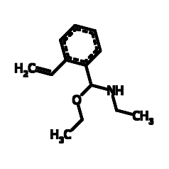 C=Cc1ccccc1C(NCC)OCC